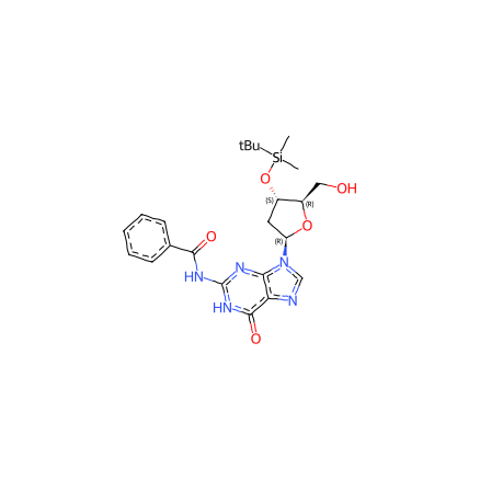 CC(C)(C)[Si](C)(C)O[C@H]1C[C@H](n2cnc3c(=O)[nH]c(NC(=O)c4ccccc4)nc32)O[C@@H]1CO